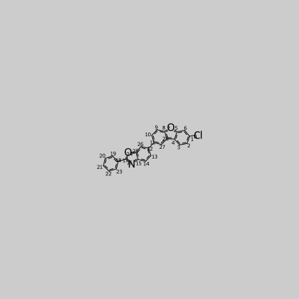 Clc1ccc2c(c1)oc1ccc(-c3ccc4nc(-c5ccccc5)oc4c3)cc12